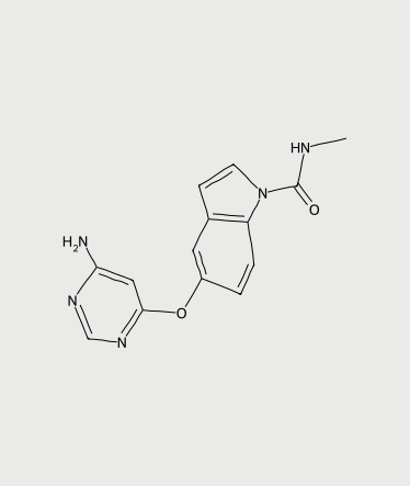 CNC(=O)n1ccc2cc(Oc3cc(N)ncn3)ccc21